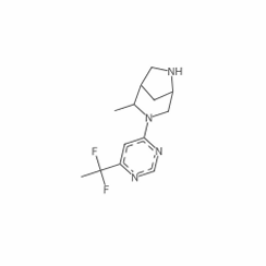 CC1C2CNC(C2)CN1c1cc(C(C)(F)F)ncn1